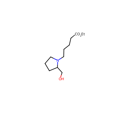 CCOC(=O)CCCCN1CCCC1CO